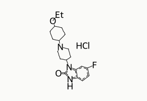 CCOC1CCC(N2CCC(n3c(=O)[nH]c4ccc(F)cc43)CC2)CC1.Cl